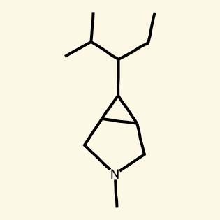 CCC(C(C)C)C1C2CN(C)CC21